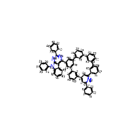 c1ccc(-c2cc(-c3ccccc3)nc(-c3cccc(-c4cccc(-c5cccc(-c6cccc(-c7nc(-c8ccccc8)nc8c7c7ccccc7n8-c7ccccc7)c6)c5)c4)c3)c2)cc1